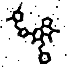 CCN1C(=O)c2c(OCc3ccccc3)c(=O)c(-c3nnc(Cc4ccc(F)cc4F)s3)cn2C2COCC21